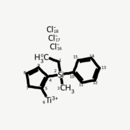 CC[Si](C)(C1=[C]([Ti+3])CC=C1)c1ccccc1.[Cl-].[Cl-].[Cl-]